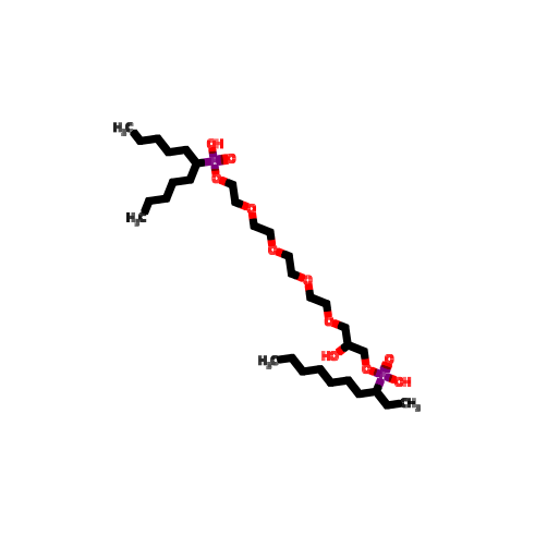 CCCCCCCC(CC)P(=O)(O)OCC(O)COCCOCCOCCOCCOP(=O)(O)C(CCCCC)CCCCC